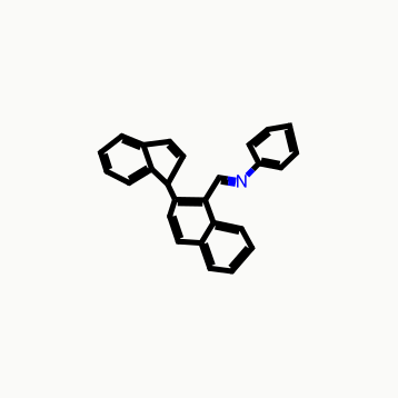 C1=CC(c2ccc3ccccc3c2C=Nc2ccccc2)c2ccccc21